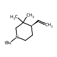 C=C[C@H]1CCN(C(C)(C)C)CC1(C)C